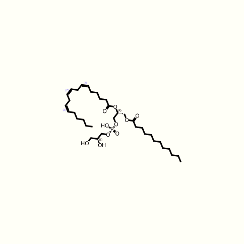 CCCCC/C=C\C/C=C\C/C=C\CCCCC(=O)O[C@H](COC(=O)CCCCCCCCCCC)COP(=O)(O)OC[C@@H](O)CO